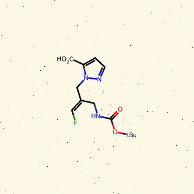 CC(C)(C)OC(=O)NC/C(=C\F)Cn1nccc1C(=O)O